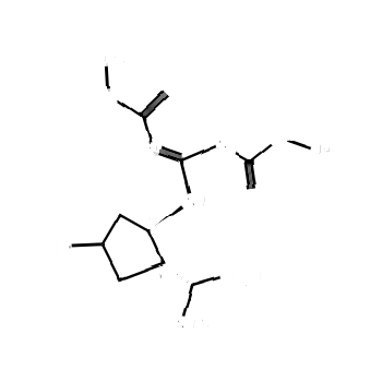 CCOC(=O)C(NC(C)=O)[C@@H]1CC(O)C[C@H]1N/C(=N/C(=O)OC(C)(C)C)NC(=O)OC(C)(C)C